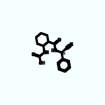 N#C[C@H](NC(=O)C1CCCCC1NC(=O)O)c1ccccc1